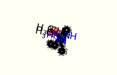 CC(C)(C)OC(=O)N[C@H](Cc1c[nH]c2ccccc12)c1nnc(CCc2ccccc2)n1Cc1cccc2ccccc12